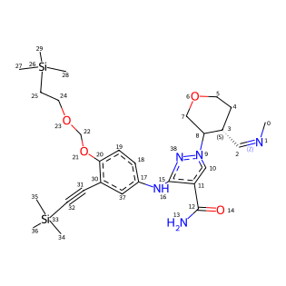 C/N=C\[C@H]1CCOCC1n1cc(C(N)=O)c(Nc2ccc(OCOCC[Si](C)(C)C)c(C#C[Si](C)(C)C)c2)n1